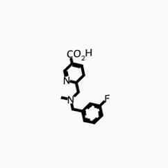 CN(Cc1cccc(F)c1)CC1CC=C(C(=O)O)C=N1